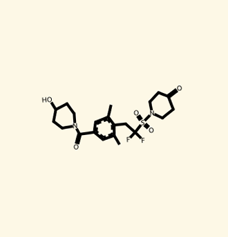 Cc1cc(C(=O)N2CCC(O)CC2)cc(C)c1CC(F)(F)S(=O)(=O)N1CCC(=O)CC1